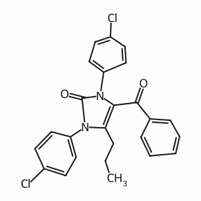 CCCc1c(C(=O)c2ccccc2)n(-c2ccc(Cl)cc2)c(=O)n1-c1ccc(Cl)cc1